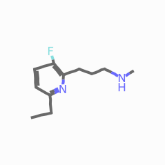 CCc1ccc(F)c(CCCNC)n1